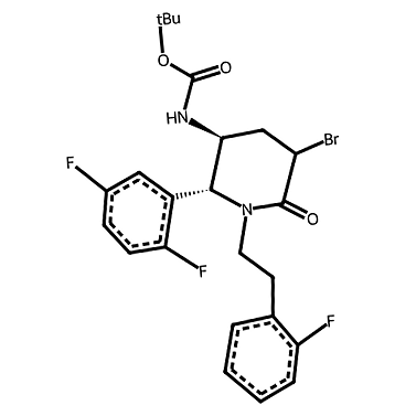 CC(C)(C)OC(=O)N[C@H]1CC(Br)C(=O)N(CCc2ccccc2F)[C@@H]1c1cc(F)ccc1F